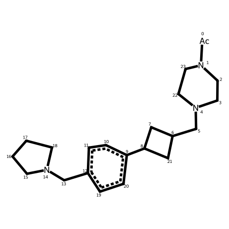 CC(=O)N1CCN(CC2CC(c3ccc(CN4CCCC4)cc3)C2)CC1